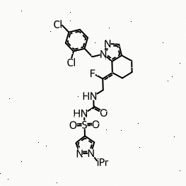 CC(C)n1cc(S(=O)(=O)NC(=O)NC/C(F)=C2\CCCc3cnn(Cc4ccc(Cl)cc4Cl)c32)cn1